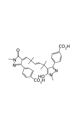 CN1N=C(c2ccc(C(=O)O)cc2)/C(=C\C(C)(C)C=CC(C)(C)c2c(-c3ccc(C(=O)O)cc3)nn(C)c2O)C1=O